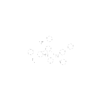 N#Cc1ccccc1-c1ccc2c(c1)c1cc(-c3ccccc3C#N)ccc1n2-c1cccc2c1C(=O)N(c1ccc(-c3ccccc3)cc1-c1ccccc1)C2=O